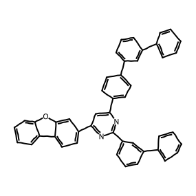 c1ccc(-c2cccc(-c3ccc(-c4cc(-c5ccc6c(c5)oc5ccccc56)nc(-c5cccc(-c6ccccc6)c5)n4)cc3)c2)cc1